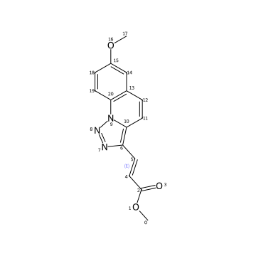 COC(=O)/C=C/c1nnn2c1ccc1cc(OC)ccc12